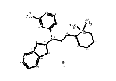 Cc1cccc(N(CCC2CCCC[N+]2(C)C)C2Cc3ccccc3C2)n1.[Br-]